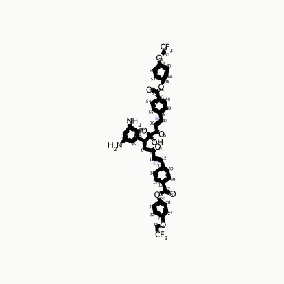 Nc1cc(N)cc(C(CC(=O)/C=C/c2ccc(C(=O)Oc3ccc(OCC(F)(F)F)cc3)cc2)C(O)(O)C(=O)/C=C/c2ccc(C(=O)Oc3ccc(OCC(F)(F)F)cc3)cc2)c1